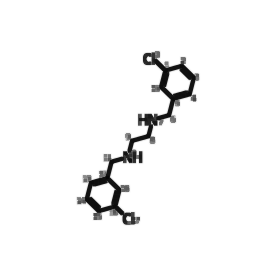 Clc1cccc(CNCCNCc2cccc(Cl)c2)c1